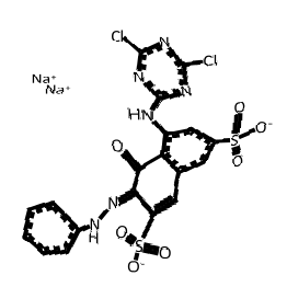 O=C1/C(=N/Nc2ccccc2)C(S(=O)(=O)[O-])=Cc2cc(S(=O)(=O)[O-])cc(Nc3nc(Cl)nc(Cl)n3)c21.[Na+].[Na+]